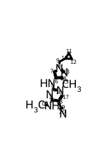 CNc1nc(Nc2cn(CC3CC3)nc2C)ncc1C#N